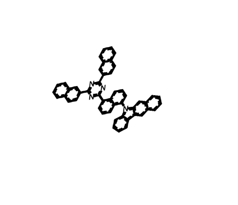 c1ccc2cc(-c3nc(-c4ccc5ccccc5c4)nc(-c4cccc5c(-n6c7ccccc7c7cc8ccccc8cc76)cccc45)n3)ccc2c1